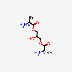 CC(C)[C@H](N)C(=O)OCC(O)COC(=O)[C@@H](N)C(C)C